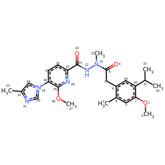 COc1cc(C)c(CC(=O)N(C)NC(=O)c2ccc(-n3cnc(C)c3)c(OC)n2)cc1C(C)C